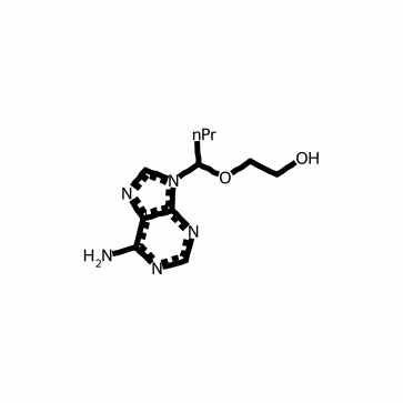 CCCC(OCCO)n1cnc2c(N)ncnc21